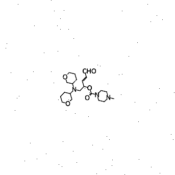 CN1CCN(C(=O)OC(/C=C/C=O)CN(C2CCCOC2)C2CCCOC2)CC1